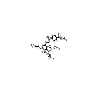 C/C=C/Cc1cc(/C=C/C(=O)c2ccc(NC)cc2)c(OCC)c(C/C=C/C)c1O